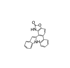 O=c1[nH]c2c(-c3cc4ccccc4[nH]3)c(-c3ccccc3)ccc2o1